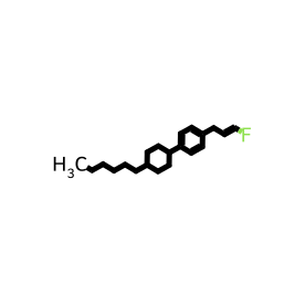 CCCCCCC1CCC(c2ccc(CC=CF)cc2)CC1